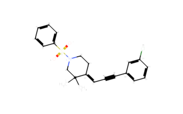 CC1(C)CN(S(=O)(=O)c2ccccc2)CC/C1=C\C#Cc1cccc(Cl)c1